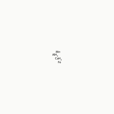 [AlH3].[CaH2].[Fe].[Mn]